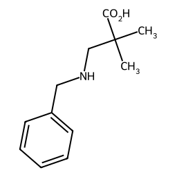 CC(C)(CNCc1ccccc1)C(=O)O